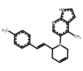 Cc1ccc(C=CC2CC=CCN2c2cnc3[nH]ccc3c2C)cc1